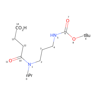 CCCN(CCCNC(=O)OC(C)(C)C)C(=O)CCC(=O)O